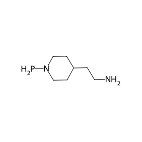 NCCC1CCN(P)CC1